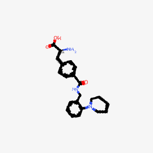 N[C@@H](Cc1ccc(C(=O)NCc2ccccc2N2CCCCC2)cc1)C(=O)O